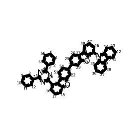 c1ccc(-c2nc(-c3ccccc3)nc(-c3cccc4oc5cc(-c6ccc7c(c6)oc6c(-n8c9ccccc9c9ccccc98)cccc67)ccc5c34)n2)cc1